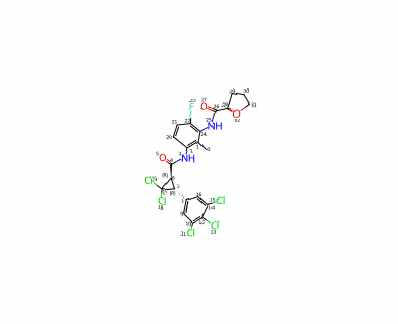 Cc1c(NC(=O)[C@H]2[C@H](c3cc(Cl)c(Cl)c(Cl)c3)C2(Cl)Cl)ccc(F)c1NC(=O)C1CCCO1